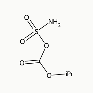 CC(C)OC(=O)OS(N)(=O)=O